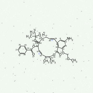 COCOc1cc(N)cc2c1C(=O)O[C@@H](C)C(C)/C=C\C(OC(=O)c1ccccc1)[C@H]1OC(C)(C)O[C@H]1C/C=C/2